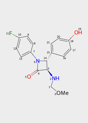 COCN[C@H]1C(=O)N(c2ccc(F)cc2)[C@@H]1c1ccc(O)cc1